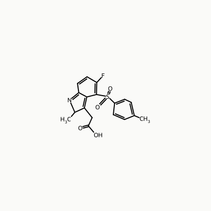 Cc1ccc(S(=O)(=O)c2c(F)ccc3c2=C(CC(=O)O)C(C)N=3)cc1